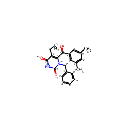 CCc1c(C(=O)c2cc(C)cc(C)c2)n(Cc2ccccc2)c(=O)[nH]c1=O